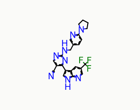 N#Cc1cnc(NCc2ccc(N3CCCC3)nc2)nc1-c1c[nH]c2ncc(C(F)(F)F)cc12